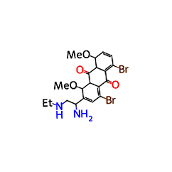 CCNCC(N)C1=CC(Br)=C2C(=O)C3=C(Br)C=CC(OC)C3C(=O)C2C1OC